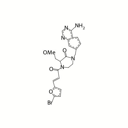 COCC1C(=O)N(Cc2ccc3c(N)ncnc3c2)CCN1C(=O)/C=C/c1ccc(Br)o1